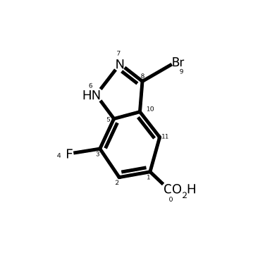 O=C(O)c1cc(F)c2[nH]nc(Br)c2c1